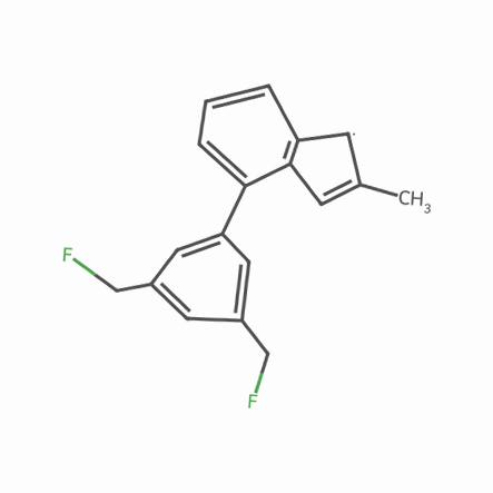 CC1=Cc2c(cccc2-c2cc(CF)cc(CF)c2)[CH]1